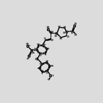 COc1ccc(Sc2ccc(C=CC(=O)N3CCN(C(C)=O)CC3)cc2[N+](=O)[O-])cc1